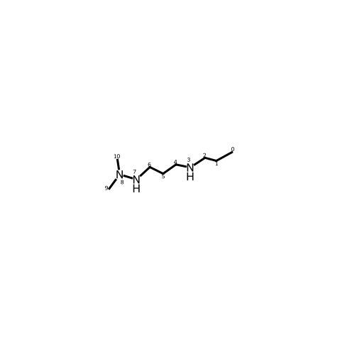 CCCNCCCNN(C)C